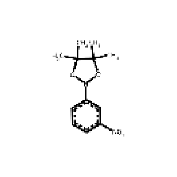 CC1(C)ON(c2cccc([N+](=O)[O-])c2)OC1(C)C